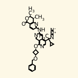 C[C@@H]1OC(=O)c2ccc(Nc3cc4c(C(C)(N=[N+]=[N-])C5CC5)cnc(O[C@H]5C[C@H](OCc6ccccc6)C5)c4cn3)nc2[C@H]1C